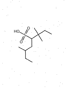 CCC(C)CC(C(C)(C)CC)S(=O)(=O)O